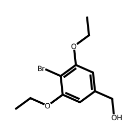 CCOc1cc(CO)cc(OCC)c1Br